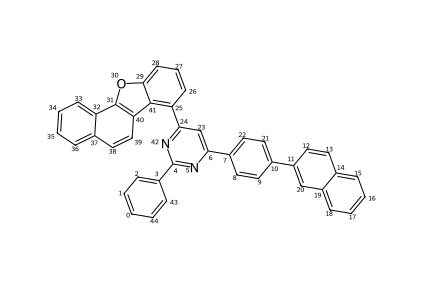 c1ccc(-c2nc(-c3ccc(-c4ccc5ccccc5c4)cc3)cc(-c3cccc4oc5c6ccccc6ccc5c34)n2)cc1